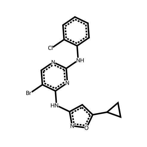 Clc1ccccc1Nc1ncc(Br)c(Nc2cc(C3CC3)on2)n1